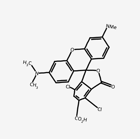 CNc1ccc2c(c1)Oc1cc(N(C)C)ccc1C21OC(=O)c2c(Cl)c(C(=O)O)cc(Cl)c21